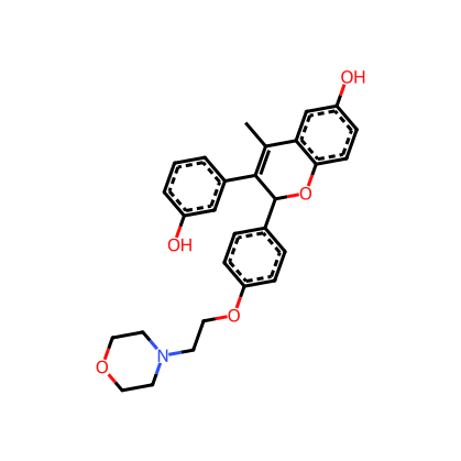 CC1=C(c2cccc(O)c2)C(c2ccc(OCCN3CCOCC3)cc2)Oc2ccc(O)cc21